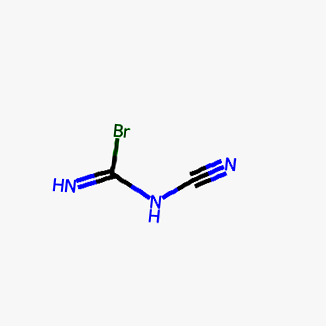 N#CNC(=N)Br